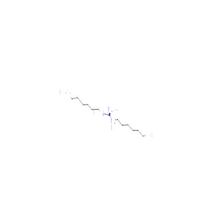 N=C(NCCCCCCO)NCCCCCCO